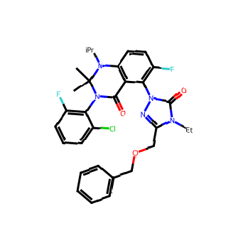 CCn1c(COCc2ccccc2)nn(-c2c(F)ccc3c2C(=O)N(c2c(F)cccc2Cl)C(C)(C)N3C(C)C)c1=O